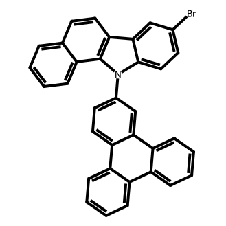 Brc1ccc2c(c1)c1ccc3ccccc3c1n2-c1ccc2c3ccccc3c3ccccc3c2c1